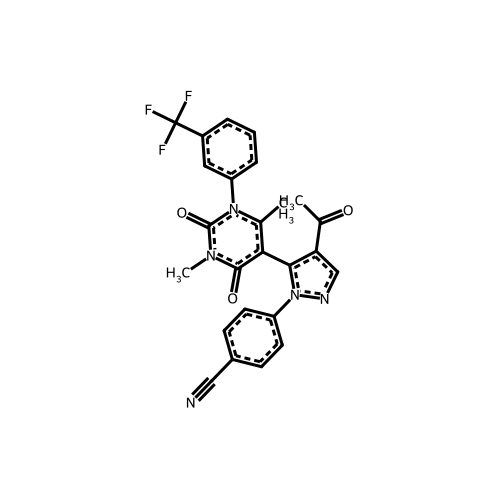 CC(=O)c1cnn(-c2ccc(C#N)cc2)c1-c1c(C)n(-c2cccc(C(F)(F)F)c2)c(=O)n(C)c1=O